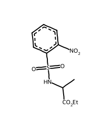 CCOC(=O)C(C)NS(=O)(=O)c1ccccc1[N+](=O)[O-]